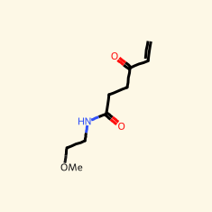 C=CC(=O)CCC(=O)NCCOC